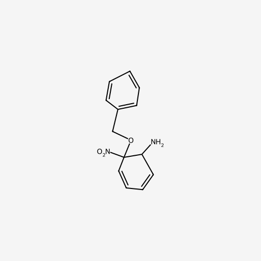 NC1C=CC=CC1(OCc1ccccc1)[N+](=O)[O-]